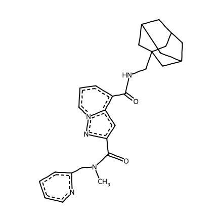 CN(Cc1ccccn1)C(=O)c1cc2c(C(=O)NCC34CC5CC(CC(C5)C3)C4)cccn2n1